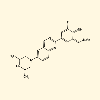 CN/C=C1/C=C(c2ncc3cc(N4CC(C)NC(C)C4)ccc3n2)C=C(F)C1=N